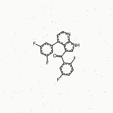 O=C(c1cc(F)ccc1F)c1c[nH]c2nccc(-c3cc(F)cc(F)c3)c12